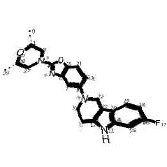 C[C@@H]1CN(c2nc3cc(N4CCc5[nH]c6cc(F)ccc6c5C4)ccc3o2)C[C@H](C)O1